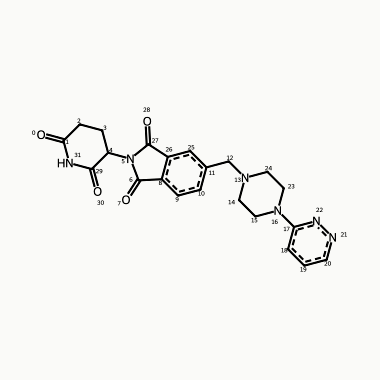 O=C1CCC(N2C(=O)c3ccc(CN4CCN(c5cccnn5)CC4)cc3C2=O)C(=O)N1